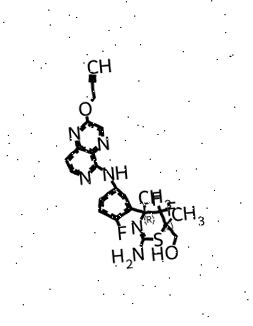 C#CCOc1cnc2c(Nc3ccc(F)c([C@@]4(C)N=C(N)S[C@@](C)(CO)C4(F)F)c3)nccc2n1